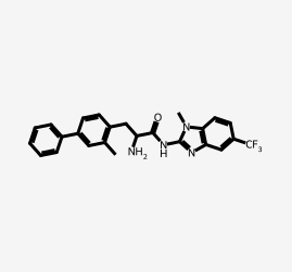 Cc1cc(-c2ccccc2)ccc1CC(N)C(=O)Nc1nc2cc(C(F)(F)F)ccc2n1C